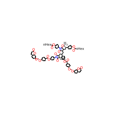 CCCCCCC(=O)Oc1ccc(C(C)CC2C(=O)N(c3ccc(OC(=O)CCCCCC)cc3)C(=O)C2CC(CC2C(=O)N(c3ccc(OC(=O)c4ccc(OCOc5ccc6ccc(=O)oc6c5)cc4)cc3)C(=O)C2C)c2ccc(OC(=O)c3ccc(OCOc4ccc5ccc(=O)oc5c4)cc3)cc2)cc1